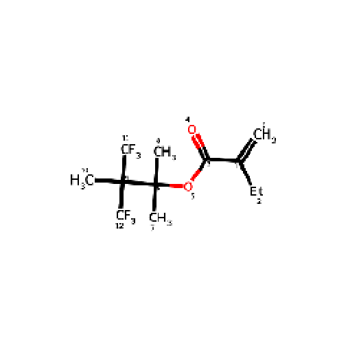 C=C(CC)C(=O)OC(C)(C)C(C)(C(F)(F)F)C(F)(F)F